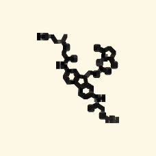 CCCCOCC(=O)Nc1ccc2c(c1)C(COC(=O)ON1C(=O)CCC1=O)c1cc(NC(=O)COC(C)CCO)ccc1-2